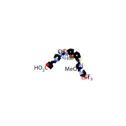 COc1cc(/C(F)=C/c2cccc(-c3cccc(NC(=O)c4nc5c(n4C)CCN(CCC46CCC(C(=O)O)(CC4)C6)C5)c3Cl)c2Cl)ncc1CN1CCC(O)(C(F)(F)F)C1